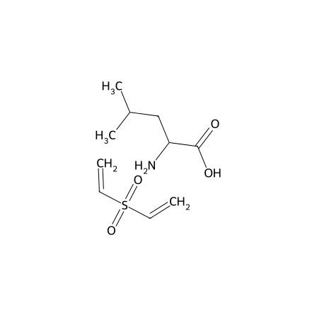 C=CS(=O)(=O)C=C.CC(C)CC(N)C(=O)O